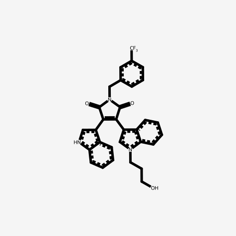 O=C1C(c2c[nH]c3ccccc23)=C(c2cn(CCCO)c3ccccc23)C(=O)N1Cc1cccc(C(F)(F)F)c1